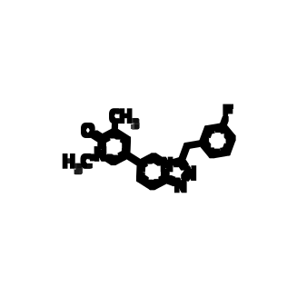 Cc1cc(-c2ccc3nnc(Cc4cccc(F)c4)n3c2)cn(C)c1=O